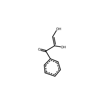 O=C(/C(O)=C/O)c1ccccc1